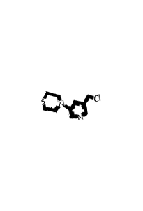 ClCc1cncc(N2CCSCC2)c1